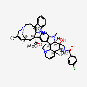 CCC1=C[C@@H]2CN(CCc3c([nH]c4ccccc34)[C@@](C(=O)OC)(c3cc4c(cc3OC)N(C)[C@H]3C(O)(CNC(=O)c5ccc(F)cc5)[C@H](OC(C)=O)[C@]5(CC)C=CCN6CC[C@]43C65)C2)C1